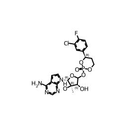 C[C@@]1(O)[C@H](O)C(OP2(=O)OCC[C@H](c3ccc(F)c(Cl)c3)O2)O[C@H]1n1ccc2c(N)ncnc21